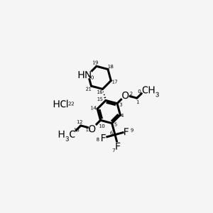 CCOc1cc(C(F)(F)F)c(OCC)cc1[C@H]1CCCNC1.Cl